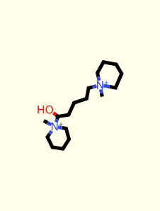 C[N+]1(CCCCC(O)[N+]2(C)CCCCC2)CCCCC1